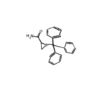 NC(=O)C1CN1C(c1ccccc1)(c1ccccc1)c1ccccc1